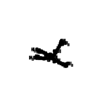 COP(=O)(OCCCCCCNC(=O)CCCC(=O)NC(CCC(=O)NCCOCCOCc1cn(C)nn1)(CCC(=O)NCCOCCOCc1cn(C)nn1)CCC(=O)NCCOCCOCc1cn(C)nn1)SC